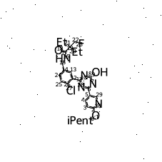 CCC[C@@H](C)Oc1ccc(-c2nc(O)nc(-c3cc(CNC(=O)C(CC)(CC)CF)ccc3Cl)n2)cn1